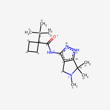 CN1Cc2c(NC(=O)C3([Si](C)(C)C)CCC3)n[nH]c2C1(C)C